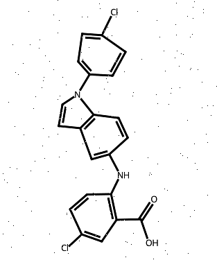 O=C(O)c1cc(Cl)ccc1Nc1ccc2c(ccn2-c2ccc(Cl)cc2)c1